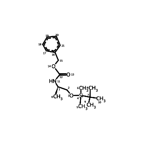 C[C@H](CO[Si](C)(C)C(C)(C)C)NC(=O)OCc1ccccc1